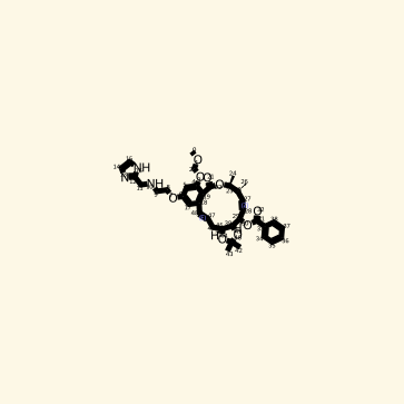 COCOc1cc(OCCNCc2ncc[nH]2)cc2c1C(=O)O[C@@H](C)[C@H](C)/C=C\C(OC(=O)c1ccccc1)[C@H]1OC(C)(C)O[C@H]1C/C=C/2